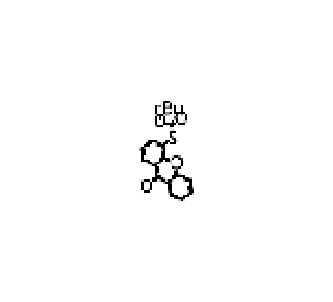 CCCCOC(=O)Sc1cccc2c(=O)c3ccccc3oc12